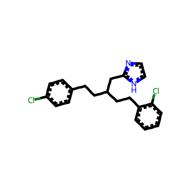 Clc1ccc(CCC(CCc2ccccc2Cl)Cc2ncc[nH]2)cc1